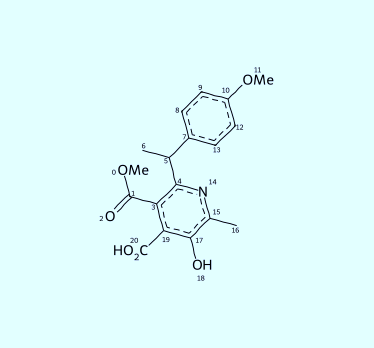 COC(=O)c1c(C(C)c2ccc(OC)cc2)nc(C)c(O)c1C(=O)O